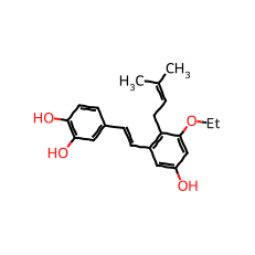 CCOc1cc(O)cc(C=Cc2ccc(O)c(O)c2)c1CC=C(C)C